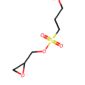 O=S(=O)(CCCO)OCC1CO1